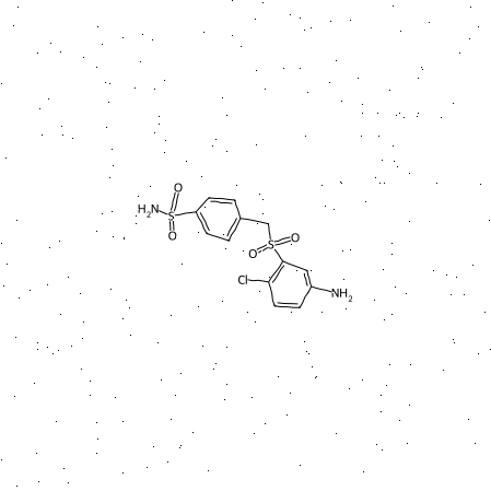 Nc1ccc(Cl)c(S(=O)(=O)Cc2ccc(S(N)(=O)=O)cc2)c1